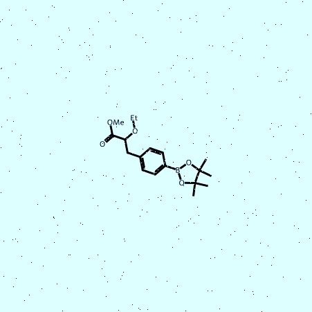 CCOC(Cc1ccc(B2OC(C)(C)C(C)(C)O2)cc1)C(=O)OC